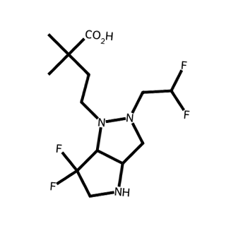 CC(C)(CCN1C2C(CN1CC(F)F)NCC2(F)F)C(=O)O